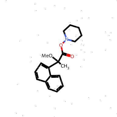 COC(C)(C(=O)ON1CCCCC1)c1cccc2ccccc12